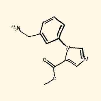 COC(=O)c1cncn1-c1cccc(CN)c1